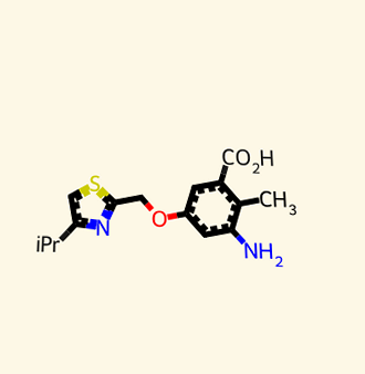 Cc1c(N)cc(OCc2nc(C(C)C)cs2)cc1C(=O)O